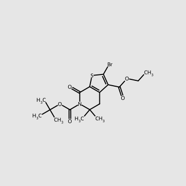 CCOC(=O)c1c(Br)sc2c1CC(C)(C)N(C(=O)OC(C)(C)C)C2=O